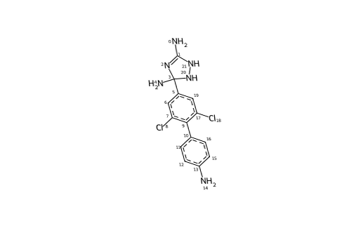 NC1=NC(N)(c2cc(Cl)c(-c3ccc(N)cc3)c(Cl)c2)NN1